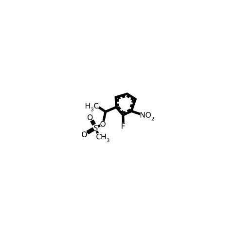 CC(OS(C)(=O)=O)c1cccc([N+](=O)[O-])c1F